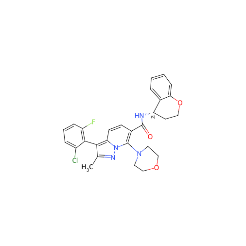 Cc1nn2c(N3CCOCC3)c(C(=O)N[C@H]3CCOc4ccccc43)ccc2c1-c1c(F)cccc1Cl